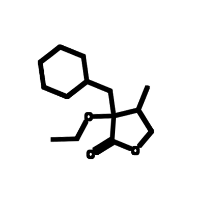 CCOC1(CC2CCCCC2)C(=O)OCC1C